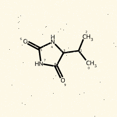 CC(C)[C]1NC(=O)NC1=O